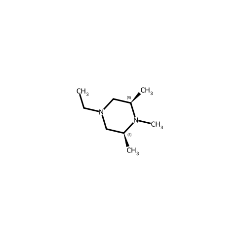 CCN1C[C@@H](C)N(C)[C@@H](C)C1